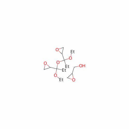 CCOC(CC)(OC(CC)(OCC)C1CO1)C1CO1.OCC1CO1